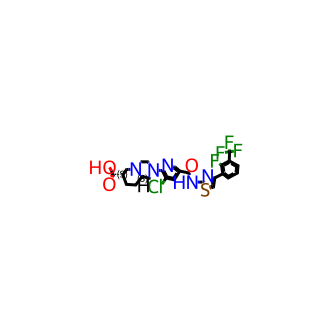 O=C(Nc1nc(-c2cccc(C(F)(F)F)c2F)cs1)c1cnc(N2CCN3C[C@@H](C(=O)O)CC[C@H]3C2)c(Cl)c1